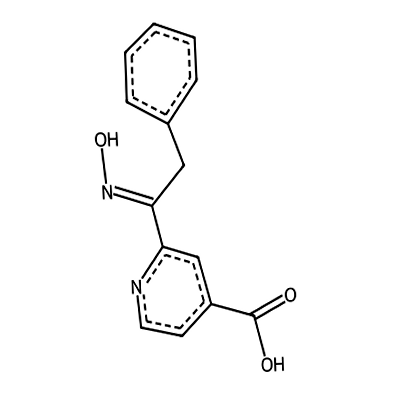 O=C(O)c1ccnc(/C(Cc2ccccc2)=N/O)c1